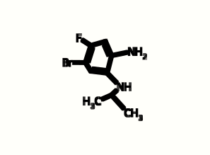 CC(C)Nc1cc(Br)c(F)cc1N